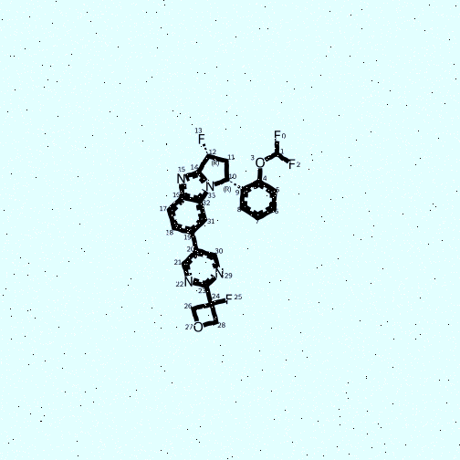 FC(F)Oc1ccccc1[C@H]1C[C@@H](F)c2nc3ccc(-c4cnc(C5(F)COC5)nc4)cc3n21